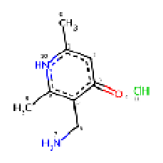 Cc1cc(=O)c(CN)c(C)[nH]1.Cl